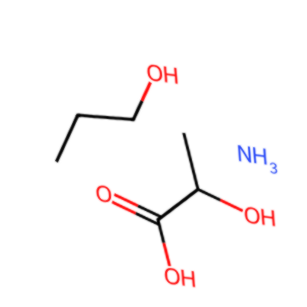 CC(O)C(=O)O.CCCO.N